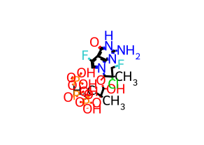 CC(C)(OP(=O)(O)OP(=O)(O)OP(=O)(O)O)[C@H](O)O[C@@H](n1cc(F)c2c(=O)[nH]c(N)nc21)[C@@](C)(Cl)CF